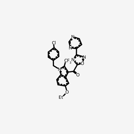 CCOc1ccc2c(c1)c(C(=O)c1nc(-c3ccncn3)no1)c(C(F)(F)F)n2Cc1ccc(Cl)cc1